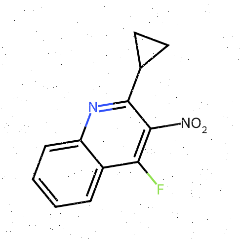 O=[N+]([O-])c1c(C2CC2)nc2ccccc2c1F